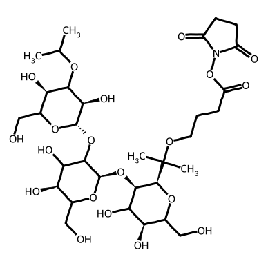 CC(C)OC1[C@H](O)C(CO)O[C@@H](OC2C(O)[C@H](O)C(CO)O[C@@H]2O[C@@H]2C(O)[C@H](O)C(CO)O[C@@H]2C(C)(C)OCCCC(=O)ON2C(=O)CCC2=O)[C@@H]1O